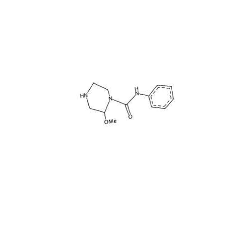 COC1CNCCN1C(=O)Nc1ccccc1